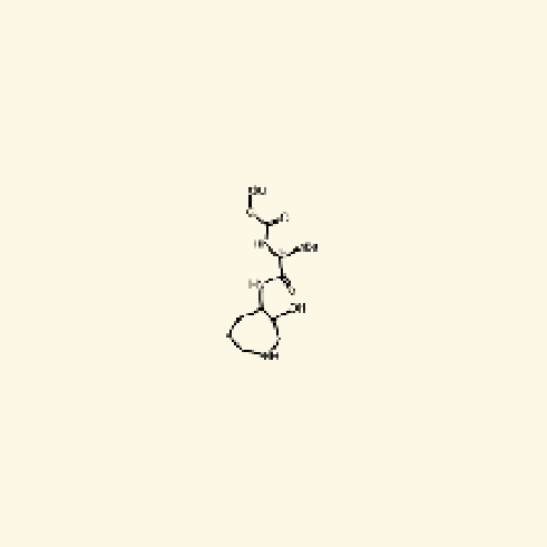 CCCC[C@H](NC(=O)OC(C)(C)C)C(=O)NC1CCCNCC1O